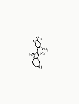 Cc1cc(C)c(-c2cc3c([nH]2)CCNC3)cn1.Cl